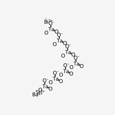 [Ba+2].[Bi+3].[O]=[Ta](=[O])[O-].[O]=[Ta](=[O])[O-].[O]=[Ta](=[O])[O-].[O]=[Ta](=[O])[O-].[O]=[Ta](=[O])[O-].[O]=[Ta](=[O])[O-].[O]=[Ta](=[O])[O-].[Sr+2]